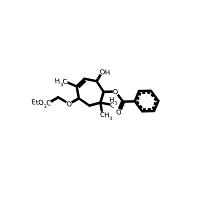 CCOC(=O)COC1CC(C)(C)C(OC(=O)c2ccccc2)C(O)C=C1C